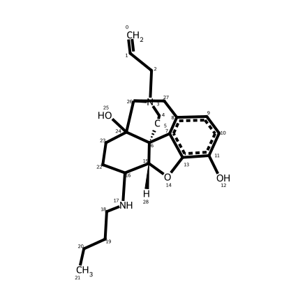 C=CCN1CC[C@]23c4c5ccc(O)c4O[C@@H]2C(NCCCC)CCC3(O)C1C5